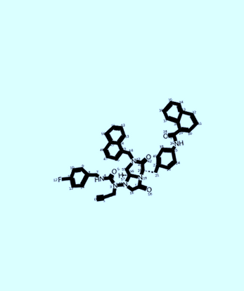 C#CCN(C(=O)NCc1ccc(F)cc1)N1CC(=O)N2[C@@H](Cc3ccc(NC(=O)c4cccc5ccccc45)cc3)C(=O)N(Cc3cccc4ccccc34)C[C@@H]21